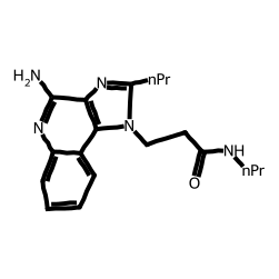 CCCNC(=O)CCn1c(CCC)nc2c(N)nc3ccccc3c21